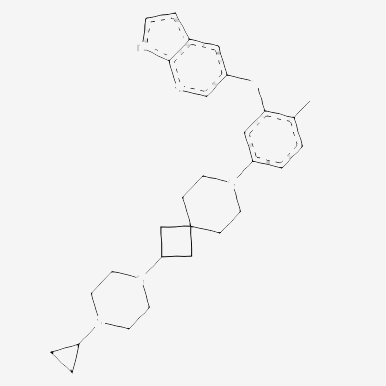 O=Cc1ccc(N2CCC3(CC2)CC(N2CCN(C4CC4)CC2)C3)cc1Oc1cnc2[nH]ccc2c1